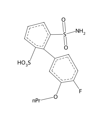 CCCOc1cc(-c2c(S(N)(=O)=O)cccc2S(=O)(=O)O)ccc1F